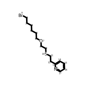 BrCCCCCCOCCSCCc1ccccn1